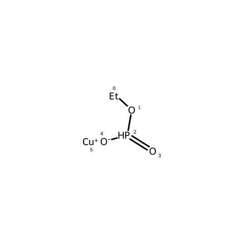 CCO[PH](=O)[O-].[Cu+]